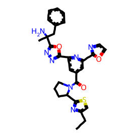 CCc1csc(C2CCCN2C(=O)c2cc(-c3ncco3)nc(-c3nnc(C(C)(N)Cc4ccccc4)o3)c2)n1